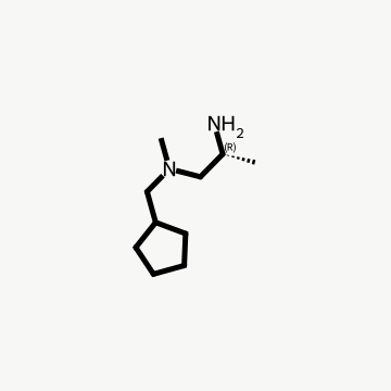 C[C@@H](N)CN(C)CC1CCCC1